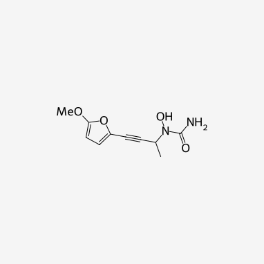 COc1ccc(C#CC(C)N(O)C(N)=O)o1